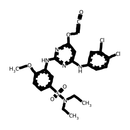 CCN(CC)S(=O)(=O)c1ccc(OC)c(Nc2nc(Nc3ccc(Cl)c(Cl)c3)cc(OC=C=O)n2)c1